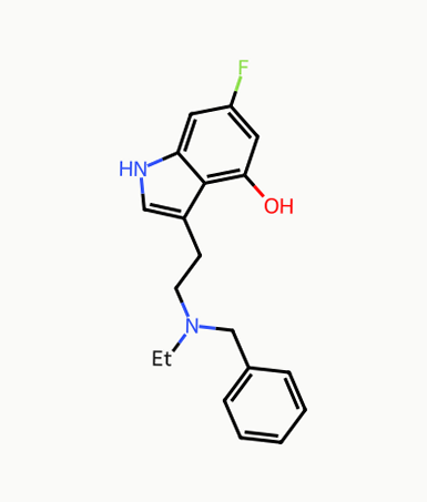 CCN(CCc1c[nH]c2cc(F)cc(O)c12)Cc1ccccc1